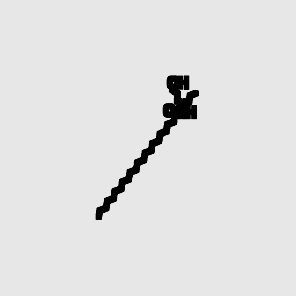 CCCCCCCCCCCCCCCCCCCCCC(=O)NN(CCC)CCCO